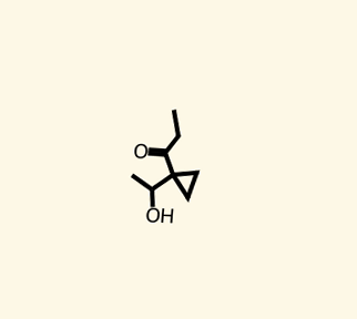 CCC(=O)C1(C(C)O)CC1